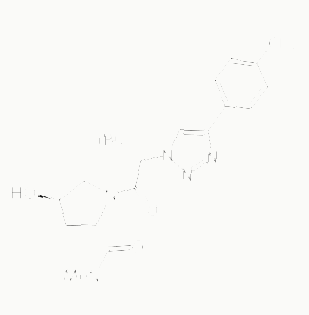 CNC(=O)[C@@H]1C[C@@H](O)CN1C(=O)[C@@H](n1cc(-c2ccc(C(F)(F)F)cc2)nn1)C(C)(C)C